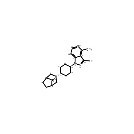 CN1C2CCC1CN([C@H]1CC[C@H](n3nc(I)c4c(N)ncnc43)CC1)C2